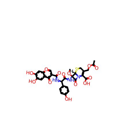 CO[C@@]1(NC(=O)C(NC(=O)c2coc3cc(O)c(O)cc3c2=O)c2ccc(O)cc2)C(=O)N2C(C(=O)O)=C(COC(C)=O)CS[C@H]21